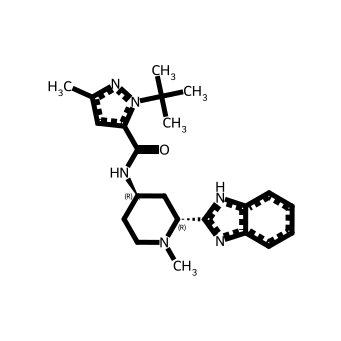 Cc1cc(C(=O)N[C@@H]2CCN(C)[C@@H](c3nc4ccccc4[nH]3)C2)n(C(C)(C)C)n1